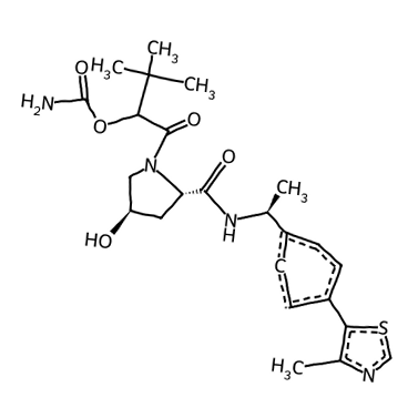 Cc1ncsc1-c1ccc([C@H](C)NC(=O)[C@@H]2C[C@@H](O)CN2C(=O)C(OC(N)=O)C(C)(C)C)cc1